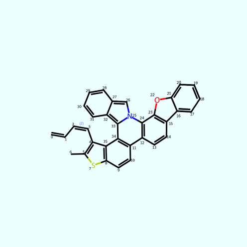 C=C/C=C\c1c(C)sc2ccc3c4ccc5c6ccccc6oc5c4n4cc5ccccc5c4c3c12